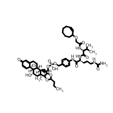 CCCC1O[C@@H]2C[C@H]3[C@@H]4CCC5=CC(=O)C=C[C@]5(C)[C@H]4[C@@H](O)C[C@]3(C)[C@]2(C(=O)COP(=O)(O)OCc2ccc(NC(=O)[C@H](CCCNC(N)=O)NC(=O)[C@@H](NC(=O)COC3C#CCCCCC3)C(C)C)cc2)O1